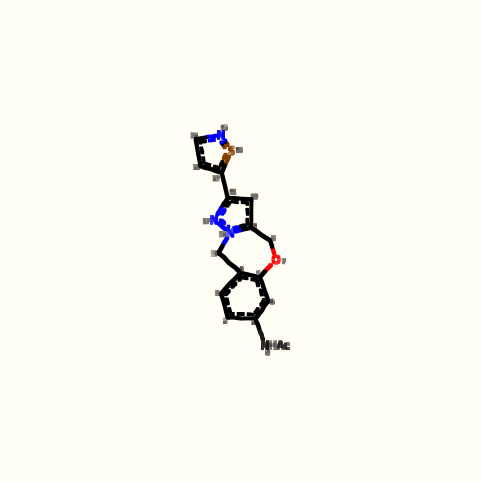 CC(=O)Nc1ccc2c(c1)OCc1cc(-c3ccns3)nn1C2